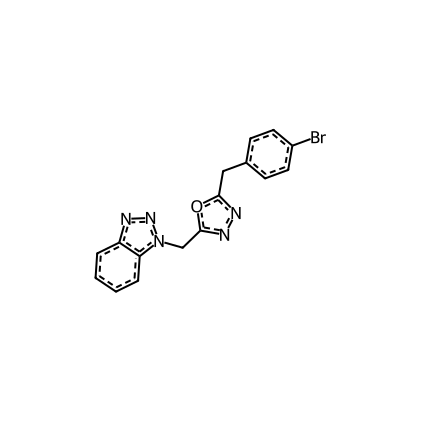 Brc1ccc(Cc2nnc(Cn3nnc4ccccc43)o2)cc1